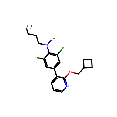 CCN(CCCC(=O)O)c1c(F)cc(-c2cccnc2OCC2CCC2)cc1F